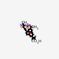 Cc1noc(C#Cc2ccc3cc(C4(CC(=O)O)CC4)ccc3c2)c1NC(=O)O[C@H](C)c1ccccc1